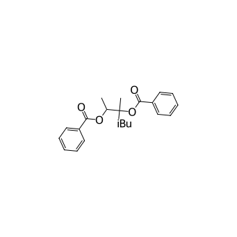 CCC(C)C(C)(OC(=O)c1ccccc1)C(C)OC(=O)c1ccccc1